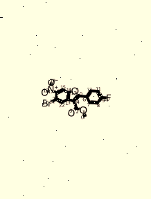 COC(=O)c1c(-c2ccc(F)cc2)oc2cc([N+](=O)[O-])c(Br)cc12